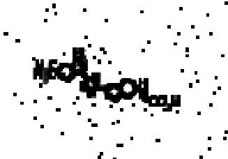 CCn1nc(-c2nc(-c3ccc4c(c3)CCC(NCC(=O)O)C4)no2)c2c1CC(C)(C)CC2